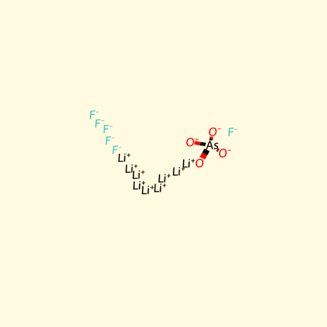 O=[As]([O-])([O-])[O-].[F-].[F-].[F-].[F-].[F-].[F-].[Li+].[Li+].[Li+].[Li+].[Li+].[Li+].[Li+].[Li+].[Li+]